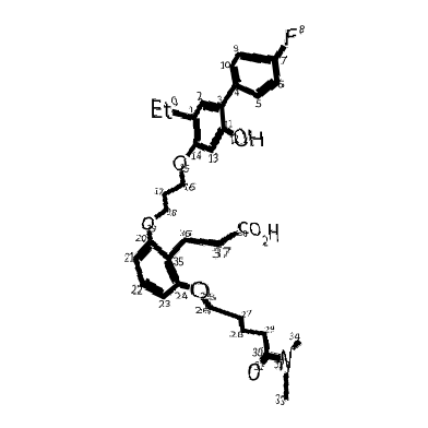 CCc1cc(-c2ccc(F)cc2)c(O)cc1OCCCOc1cccc(OCCCCC(=O)N(C)C)c1CCC(=O)O